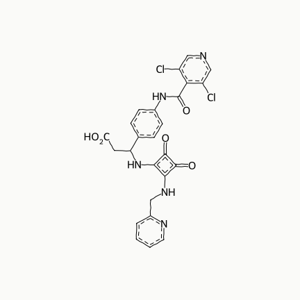 O=C(O)CC(Nc1c(NCc2ccccn2)c(=O)c1=O)c1ccc(NC(=O)c2c(Cl)cncc2Cl)cc1